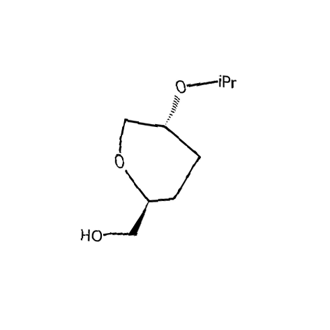 CC(C)O[C@@H]1CC[C@@H](CO)OC1